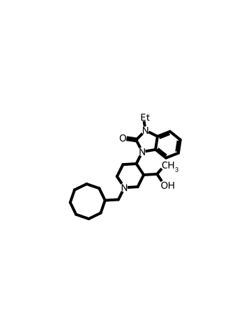 CCn1c(=O)n(C2CCN(CC3CCCCCCC3)CC2C(C)O)c2ccccc21